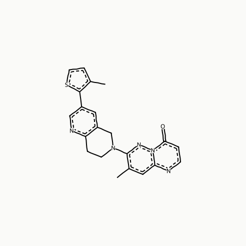 Cc1cc2nccc(=O)n2nc1N1CCc2ncc(-c3sccc3C)cc2C1